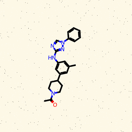 CC(=O)N1CCC(c2cc(C)cc(Nc3ncn(-c4ccccc4)n3)c2)CC1